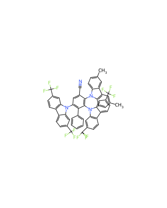 Cc1ccc2c(c1)c1cc(C)ccc1n2-c1c(C#N)cc(-n2c3cc(C(F)(F)F)ccc3c3ccc(C(F)(F)F)cc32)c(-c2ccccc2)c1-n1c2cc(C(F)(F)F)ccc2c2ccc(C(F)(F)F)cc21